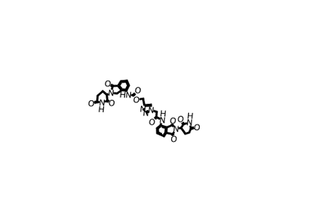 O=C1CCC(N2Cc3c(NC(=O)OCc4cn(CC(=O)Nc5cccc6c5C(=O)N(C5CCC(=O)NC5=O)C6=O)nn4)cccc3C2=O)C(=O)N1